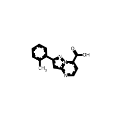 Cc1ccccc1-c1cc2nccc(C(=O)O)n2n1